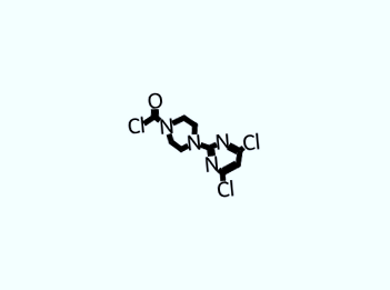 O=C(Cl)N1CCN(c2nc(Cl)cc(Cl)n2)CC1